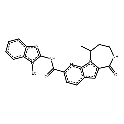 CCn1c(NC(=O)c2ccc3cc4n(c3n2)C(C)CCNC4=O)nc2ccccc21